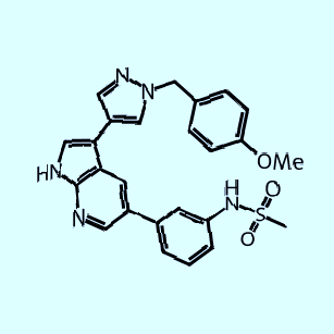 COc1ccc(Cn2cc(-c3c[nH]c4ncc(-c5cccc(NS(C)(=O)=O)c5)cc34)cn2)cc1